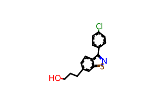 OCCCc1ccc2c(-c3ccc(Cl)cc3)nsc2c1